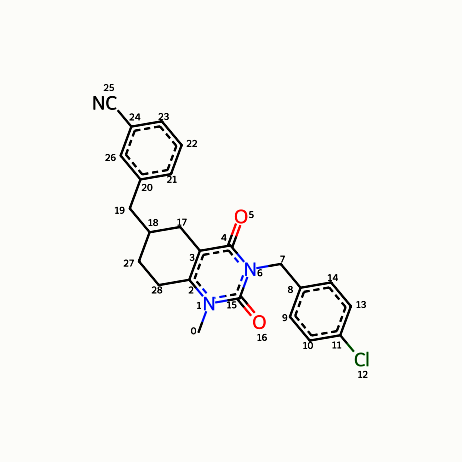 Cn1c2c(c(=O)n(Cc3ccc(Cl)cc3)c1=O)CC(Cc1cccc(C#N)c1)CC2